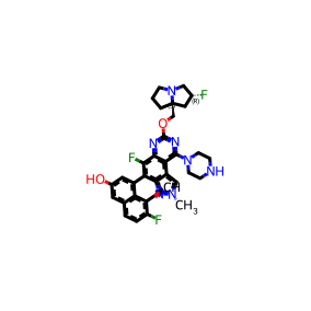 C#Cc1c(F)ccc2cc(O)cc(-c3c(F)c4nc(OC[C@@]56CCCN5C[C@H](F)C6)nc(N5CCNCC5)c4c4cn(C)nc34)c12